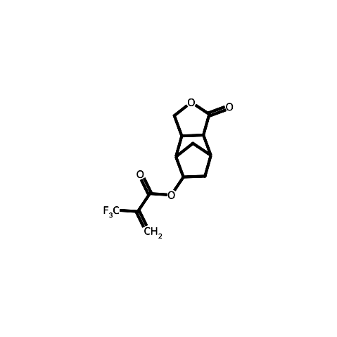 C=C(C(=O)OC1CC2CC1C1COC(=O)C21)C(F)(F)F